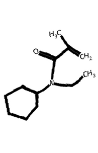 C=C(C)C(=O)N(CC)C1CCCCC1